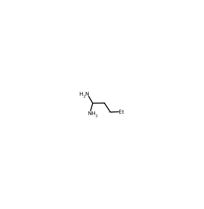 CC[CH]CC(N)N